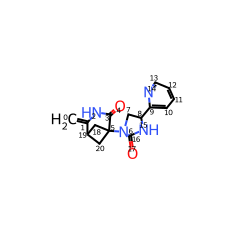 C=C1NC(=O)C2(N3CC(c4ccccn4)NC3=O)CC1C2